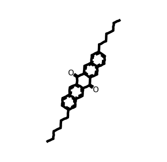 CCCCCCc1ccc2cc3c(cc2c1)C(=O)c1cc2ccc(CCCCCC)cc2cc1C3=O